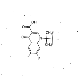 CC(C)(n1cc(C(=O)O)c(=O)c2cc(F)c(F)cc21)C(F)(F)F